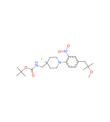 COC(C)(C)Cc1ccc(N2CCC(F)(CNC(=O)OC(C)(C)C)CC2)c([N+](=O)[O-])c1